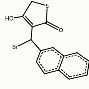 O=C1SCC(O)=C1C(Br)c1ccc2ccccc2c1